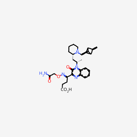 C=C1C2CC1C2=CN1CCCC[C@H]1C[C@H](C)n1c(=O)c(/C(CCC(=O)O)=N/OCC(N)=O)nc2ccccc21